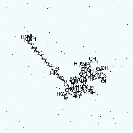 CCCCC(NC(=O)C(CNC(=O)CN(CC(=O)O)CC(=O)O)NC(=O)C(Cc1c[nH]cn1)NC(=O)C(CCC(N)=O)NC(=O)C(CO)NC(=O)[C@H](CCC(=O)O)NC(=O)COCCOCCNC(=O)CCCCCCCCCCCCCCCC1=NNNN1)C(=O)NC